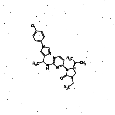 CCN1C[C@H](C(C)C)N(c2ccnc(NC(C)c3cn(-c4ccc(Cl)cc4)cn3)n2)C1=O